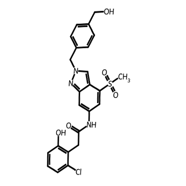 CS(=O)(=O)c1cc(NC(=O)Cc2c(O)cccc2Cl)cc2nn(Cc3ccc(CO)cc3)cc12